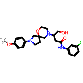 O=C(CC(CO)N1CCOC2(CCN(c3ccc(OC(F)(F)F)cc3)C2)C1)Nc1cccc(Cl)c1